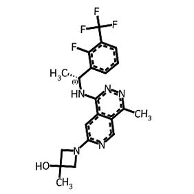 Cc1nnc(N[C@H](C)c2cccc(C(F)(F)F)c2F)c2cc(N3CC(C)(O)C3)ncc12